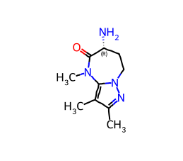 Cc1nn2c(c1C)N(C)C(=O)[C@H](N)CC2